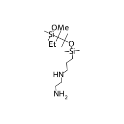 CCC(C)(C(C)(C)O[Si](C)(C)CCCNCCN)[Si](C)(C)OC